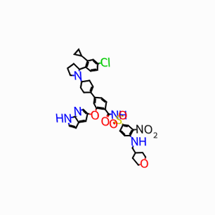 O=C(NS(=O)(=O)c1ccc(NCC2CCOCC2)c([N+](=O)[O-])c1)c1ccc(C2=CCC(N3CCCC3c3ccc(Cl)cc3C3CC3)CC2)cc1Oc1cnc2[nH]ccc2c1